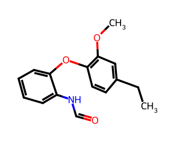 CCc1ccc(Oc2ccccc2NC=O)c(OC)c1